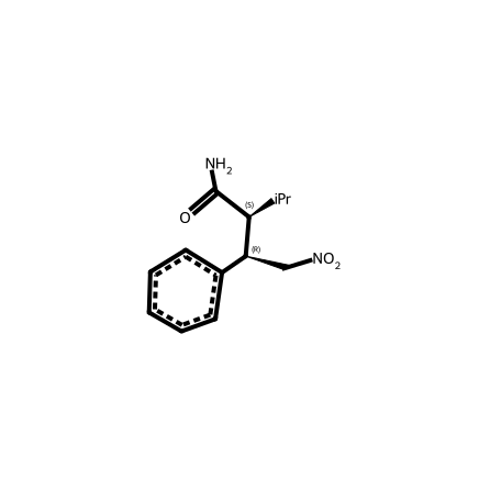 CC(C)[C@H](C(N)=O)[C@@H](C[N+](=O)[O-])c1ccccc1